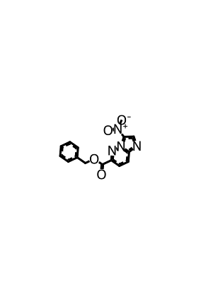 O=C(OCc1ccccc1)c1ccc2ncc([N+](=O)[O-])n2n1